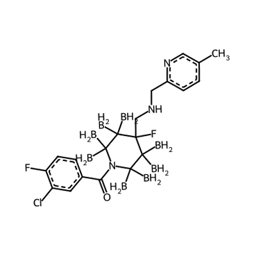 BC1(B)N(C(=O)c2ccc(F)c(Cl)c2)C(B)(B)C(B)(B)C(F)(CNCc2ccc(C)cn2)C1(B)B